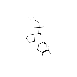 CC1=C(F)CC([C@@H]2CCON2C(=O)C(C)(C)CC#N)C=N1